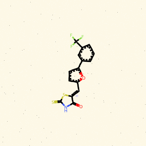 O=C1NC(=S)S/C1=C\c1ccc(-c2cccc(C(F)(F)F)c2)o1